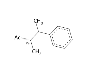 CC(=O)[C@@H](C)C(C)c1ccccc1